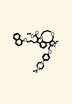 CCOC(=O)c1c(CCCOc2cccc3ccccc23)c2cccc3c2n1CCCCOCc1c-3c(COc2ccc(N3CCN(SC)CC3)cc2)nn1C